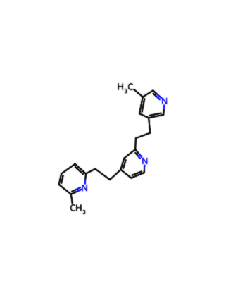 Cc1cncc(CCc2cc(CCc3cccc(C)n3)ccn2)c1